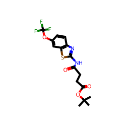 CC(C)(C)OC(=O)CCC(=O)Nc1nc2ccc(OC(F)(F)F)cc2s1